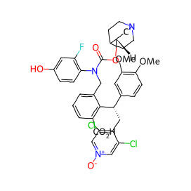 COc1ccc([C@H](Cc2c(Cl)c[n+]([O-])cc2Cl)c2c(CN(C(=O)O[C@H]3CN4CCC3CC4)c3ccc(O)cc3F)cccc2C(=O)O)cc1OC